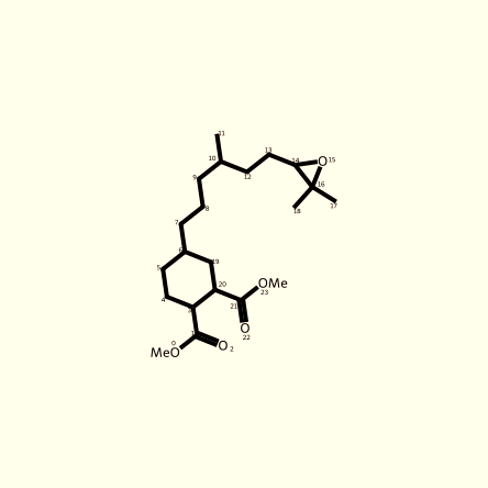 COC(=O)C1CCC(CCCC(C)CCC2OC2(C)C)CC1C(=O)OC